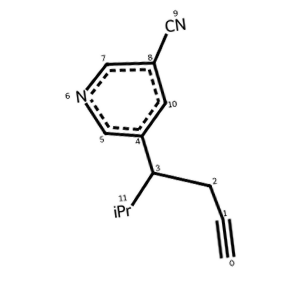 C#CCC(c1cncc(C#N)c1)C(C)C